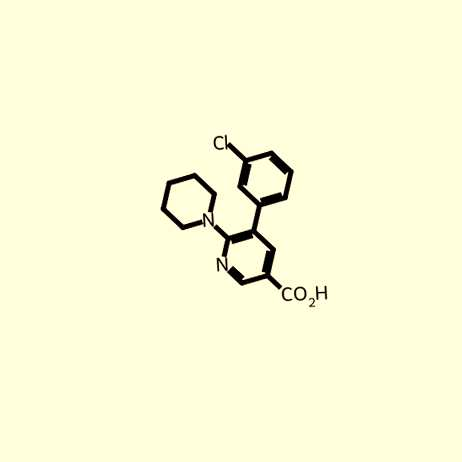 O=C(O)c1cnc(N2CCCCC2)c(-c2cccc(Cl)c2)c1